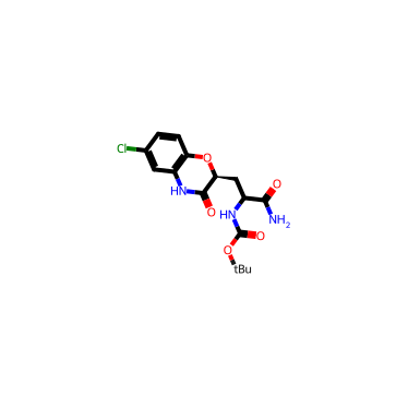 CC(C)(C)OC(=O)NC(C[C@@H]1Oc2ccc(Cl)cc2NC1=O)C(N)=O